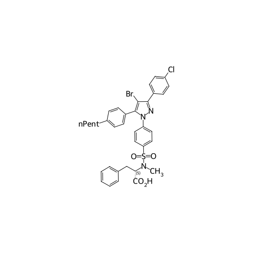 CCCCCc1ccc(-c2c(Br)c(-c3ccc(Cl)cc3)nn2-c2ccc(S(=O)(=O)N(C)[C@@H](Cc3ccccc3)C(=O)O)cc2)cc1